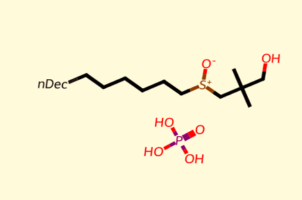 CCCCCCCCCCCCCCCC[S+]([O-])CC(C)(C)CO.O=P(O)(O)O